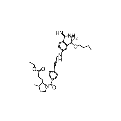 CCCCOC(=O)c1cc(NCC#Cc2ccc(C(=O)N3CCC(C)C3CCC(=O)OCC)cc2)ccc1C(=N)N